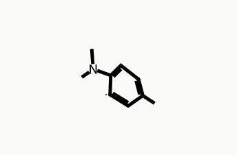 Cc1c[c]c(N(C)C)cc1